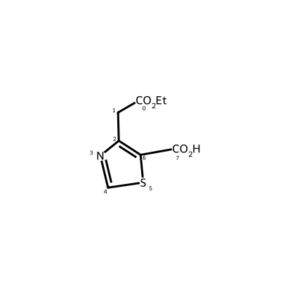 CCOC(=O)Cc1ncsc1C(=O)O